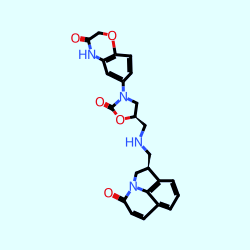 O=C1COc2ccc(N3C[C@@H](CNC[C@@H]4Cn5c(=O)ccc6cccc4c65)OC3=O)cc2N1